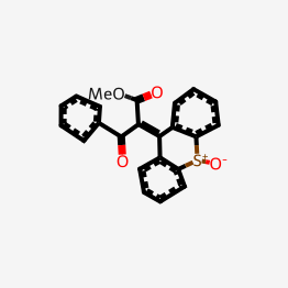 COC(=O)C(C(=O)c1ccccc1)=C1c2ccccc2[S+]([O-])c2ccccc21